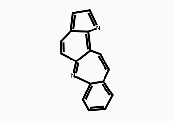 c1ccc2nc3ccc4ccnc4c3ccc2c1